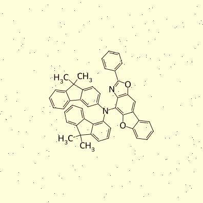 CC1(C)c2ccccc2-c2cc(N(c3cccc4c3-c3ccccc3C4(C)C)c3c4nc(-c5ccccc5)oc4cc4c3oc3ccccc34)ccc21